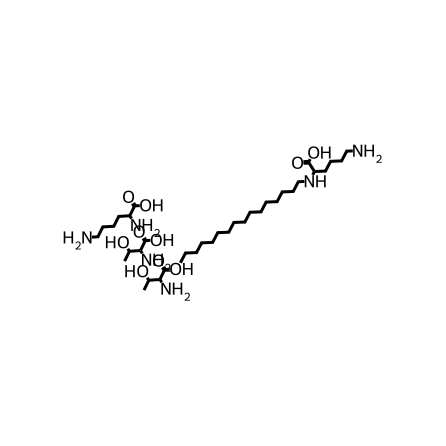 CC(O)C(N)C(=O)O.CC(O)C(N)C(=O)O.CCCCCCCCCCCCCCCCNC(CCCCN)C(=O)O.NCCCCC(N)C(=O)O